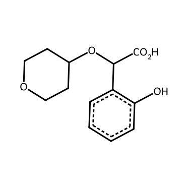 O=C(O)C(OC1CCOCC1)c1ccccc1O